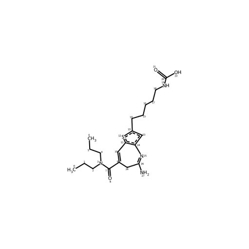 CCCN(CCC)C(=O)C1=Cc2sc(CCCCCNC(=O)O)cc2N=C(N)C1